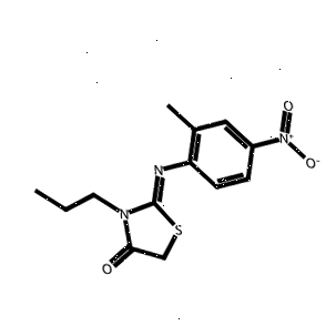 CCCN1C(=O)CSC1=Nc1ccc([N+](=O)[O-])cc1C